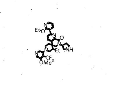 CCOc1ncccc1-c1ccc2c(n1)C(=O)N(C1CCNC1)CC21CCN(c2cncc(OC)c2C(F)(F)F)CC1CC